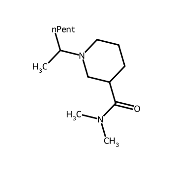 CCCCCC(C)N1CCCC(C(=O)N(C)C)C1